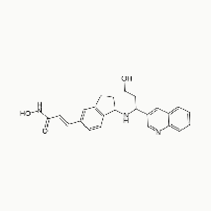 O=C(C=Cc1ccc2c(c1)CCC2NC(CCO)c1cnc2ccccc2c1)NO